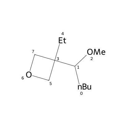 CCCCC(OC)C1(CC)COC1